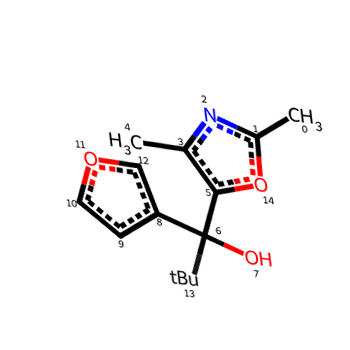 Cc1nc(C)c(C(O)(c2ccoc2)C(C)(C)C)o1